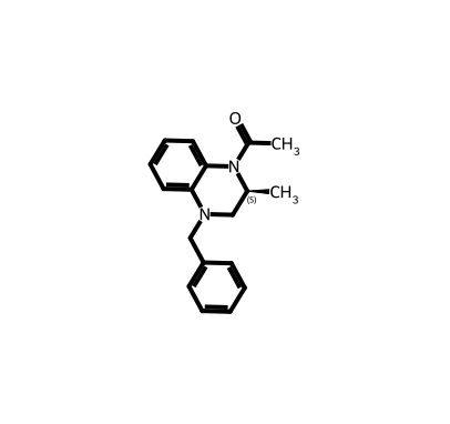 CC(=O)N1c2ccccc2N(Cc2ccccc2)C[C@@H]1C